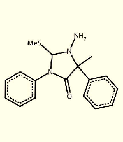 CSC1N(c2ccccc2)C(=O)C(C)(c2ccccc2)N1N